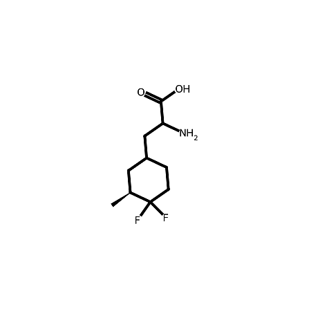 C[C@H]1CC(CC(N)C(=O)O)CCC1(F)F